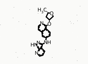 C[C@H]1C[C@H](Oc2nccc3cc(Nc4n[nH]c5ncccc45)ccc23)CO1